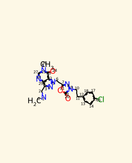 C=NCc1nn(Cc2nn(CCc3ccc(Cl)cc3)c(=O)o2)c2c(=O)n(C)cnc12